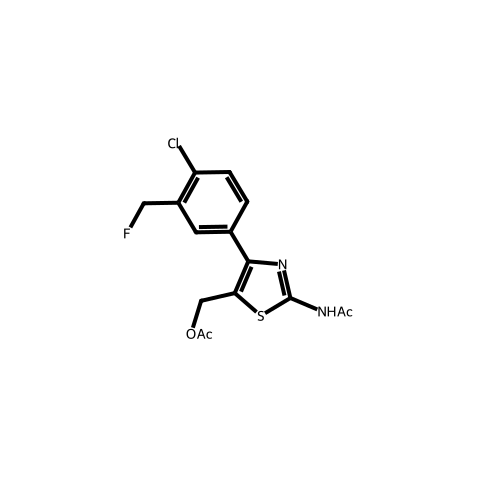 CC(=O)Nc1nc(-c2ccc(Cl)c(CF)c2)c(COC(C)=O)s1